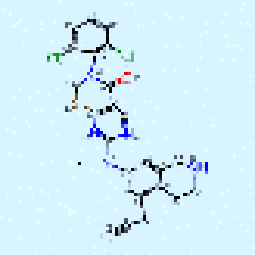 C#CCc1cc(Nc2ncc3c(n2)SCN(c2c(Cl)cccc2Cl)C3=O)cc2c1CCNC2